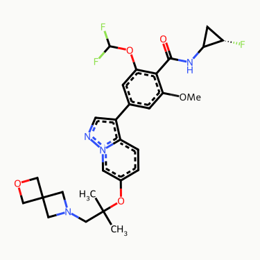 COc1cc(-c2cnn3cc(OC(C)(C)CN4CC5(COC5)C4)ccc23)cc(OC(F)F)c1C(=O)NC1C[C@@H]1F